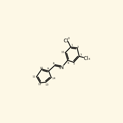 Clc1cc(Cl)cc(/N=C/c2ccccc2)c1